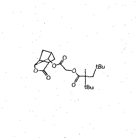 CC(C)(C)CC(C)(C(=O)OCC(=O)OC1C2CC3C(=O)OC1C3C2)C(C)(C)C